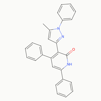 Cc1cc(-c2c(-c3ccccc3)cc(-c3ccccc3)[nH]c2=O)nn1-c1ccccc1